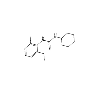 CCc1cccc(C)c1NC(=S)NC1CCCCC1